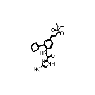 CN(C)S(=O)(=O)CCc1ccc(NC(=O)c2nc(C#N)c[nH]2)c(C2=CCCCC2)c1